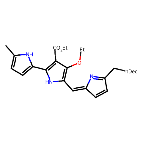 CCCCCCCCCCCC1=NC(=Cc2[nH]c(-c3ccc(C)[nH]3)c(C(=O)OCC)c2OCC)C=C1